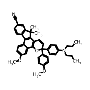 CCCN(CCC)c1ccc(C2(c3ccc(OC)cc3)C=Cc3c4c(c5ccc(OC)cc5c3O2)-c2ccc(C#N)cc2C4(C)C)cc1